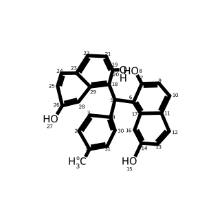 Cc1ccc(C(c2c(O)ccc3ccc(O)cc23)c2c(O)ccc3ccc(O)cc23)cc1